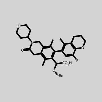 Cc1c(-c2c(C)c3c(c(C)c2C(OC(C)(C)C)C(=O)O)CC(=O)N(C2CCOCC2)C3)cc(F)c2c1CCCO2